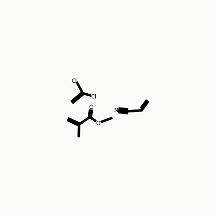 C=C(C)C(=O)OC.C=C(Cl)Cl.C=CC#N